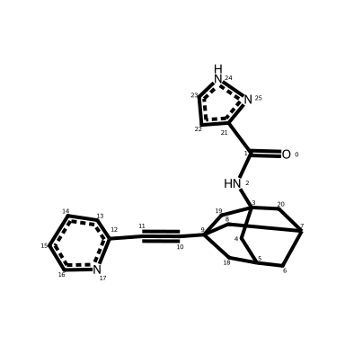 O=C(NC12CC3CC(CC(C#Cc4ccccn4)(C3)C1)C2)c1cc[nH]n1